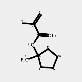 C=C(C)C(=O)OC1(C(F)(F)F)CCCC1